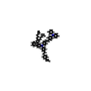 CCCCCCC1(CCCCCC)c2ccccc2-c2ccc(N(c3ccc(C=Cc4ccc(C)cc4)cc3)c3ccc(C=Cc4ccc(N(c5ccccc5)c5ccccc5)cc4)cc3)cc21